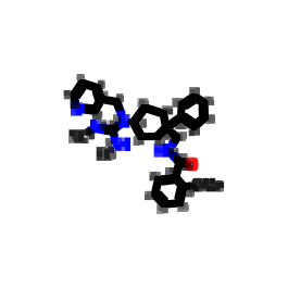 CCNC(=NC#N)N(Cc1cccnc1)[C@H]1CC[C@@](CNC(=O)c2ccccc2OC)(c2ccccc2)CC1